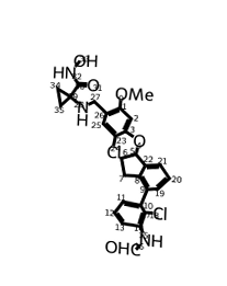 COc1cc(OC2CCc3c(-c4cccc(NC=O)c4Cl)cccc32)c(Cl)cc1CNC1(C(=O)NO)CC1